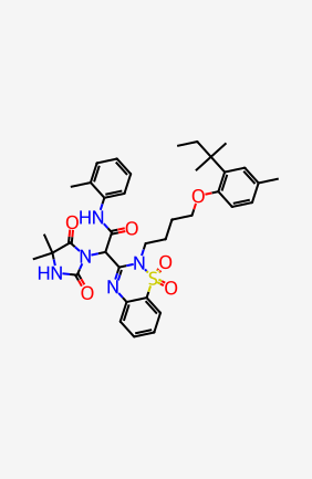 CCC(C)(C)c1cc(C)ccc1OCCCCN1C(C(C(=O)Nc2ccccc2C)N2C(=O)NC(C)(C)C2=O)=Nc2ccccc2S1(=O)=O